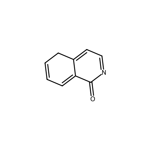 O=C1N=CC=C2CC=CC=C12